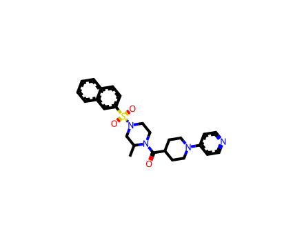 CC1CN(S(=O)(=O)c2ccc3ccccc3c2)CCN1C(=O)C1CCN(c2ccncc2)CC1